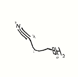 BCC#N